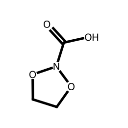 O=C(O)N1OCCO1